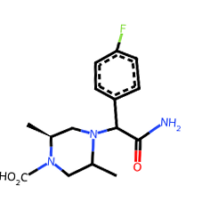 CC1CN(C(=O)O)[C@@H](C)CN1C(C(N)=O)c1ccc(F)cc1